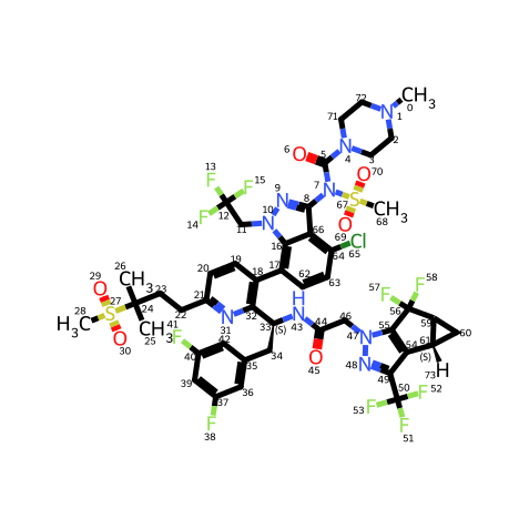 CN1CCN(C(=O)N(c2nn(CC(F)(F)F)c3c(-c4ccc(CCC(C)(C)S(C)(=O)=O)nc4[C@H](Cc4cc(F)cc(F)c4)NC(=O)Cn4nc(C(F)(F)F)c5c4C(F)(F)C4C[C@H]54)ccc(Cl)c23)S(C)(=O)=O)CC1